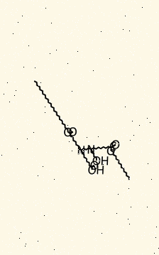 CCCCCCCCCCCCCCCCCCCCCCCCOC(=O)CCCCCCCN(CCCCCCCC(=O)O)CCCN(CCCCO)CCCCCCCC(=C=O)OCCCCCCCCCCCCCC